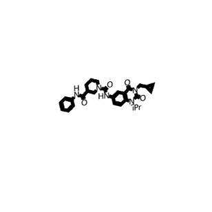 CC(C)n1c(=O)n(CC2CC2)c(=O)c2cc(NC(=O)N3CCCC(C(=O)Nc4ccccc4)C3)ccc21